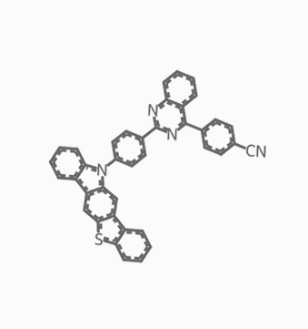 N#Cc1ccc(-c2nc(-c3ccc(-n4c5ccccc5c5cc6sc7ccccc7c6cc54)cc3)nc3ccccc23)cc1